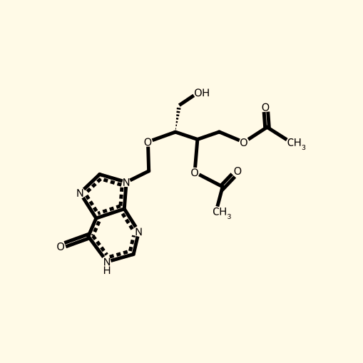 CC(=O)OCC(OC(C)=O)[C@@H](CO)OCn1cnc2c(=O)[nH]cnc21